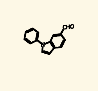 O=Cc1ccc2ccn(-c3ccccc3)c2c1